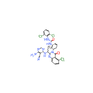 C[C@H](Nc1ncnc(N)c1C#N)c1nc2cccc(Cl)c2c(=O)n1-c1cccc(NC(=O)Nc2c(Cl)cccc2Cl)c1